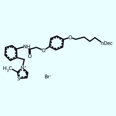 CCCCCCCCCCCCCCOc1ccc(OCC(=O)Nc2ccccc2C[n+]2ccsc2C)cc1.[Br-]